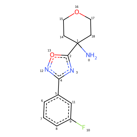 NC1(c2nc(-c3cccc(F)c3)no2)CCOCC1